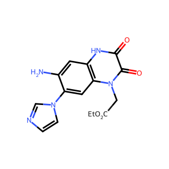 CCOC(=O)Cn1c(=O)c(=O)[nH]c2cc(N)c(-n3ccnc3)cc21